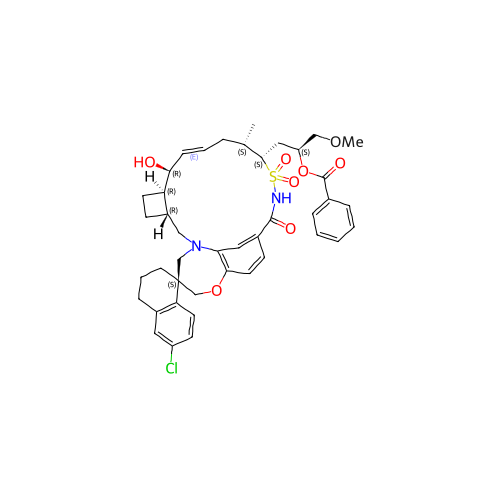 COC[C@H](C[C@H]1[C@@H](C)C/C=C/[C@H](O)[C@@H]2CC[C@H]2CN2C[C@@]3(CCCc4cc(Cl)ccc43)COc3ccc(cc32)C(=O)NS1(=O)=O)OC(=O)c1ccccc1